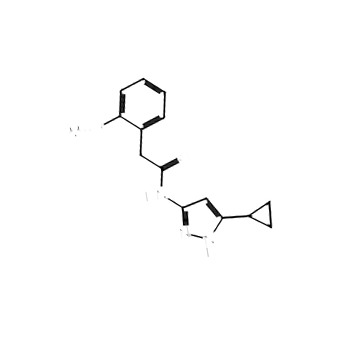 COc1ccccc1CC(=O)Nc1cc(C2CC2)[nH]n1